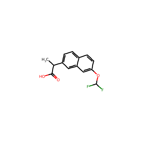 CC(C(=O)O)c1ccc2ccc(OC(F)F)cc2c1